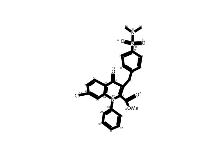 COC(=O)c1c(Cc2ccc(S(=O)(=O)N(C)C)cc2)c(=O)c2ccc(Cl)cc2n1-c1ccccc1